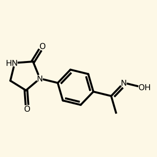 CC(=NO)c1ccc(N2C(=O)CNC2=O)cc1